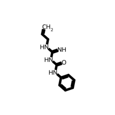 C=CCNC(=N)NC(=O)Nc1ccccc1